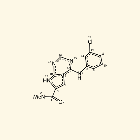 CNC(=O)c1cc2c(Nc3cccc(Cl)c3)ncnc2[nH]1